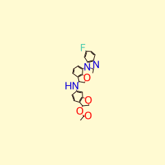 CC(=O)O[C@@H]1COc2cc(N[C@@H]3COc4c3cccc4-n3c(C)nc4ccc(F)cc43)ccc21